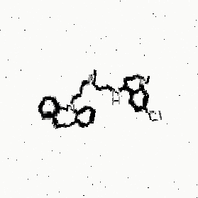 CN(CCCN1c2ccccc2CCc2ccccc21)CCNc1ccnc2cc(Cl)ccc12